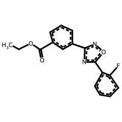 CCOC(=O)c1cccc(-c2noc(-c3ccccc3F)n2)c1